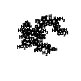 CC[C@H](C)[C@H](N)C(=O)NCC(=O)N[C@@H](CC(C)C)C(=O)N[C@@H](Cc1cnc[nH]1)C(=O)N[C@@H](CC(=O)O)C(=O)N1CCC[C@H]1C(=O)N[C@@H](CO)C(=O)N[C@@H](Cc1cnc[nH]1)C(=O)NCC(=O)N[C@H](C(=O)N[C@@H](CC(C)C)C(=O)N1CCC[C@H]1C(=O)N[C@@H](CC(N)=O)C(=O)NCC(=O)N[C@@H](CO)C(=O)O)[C@@H](C)O